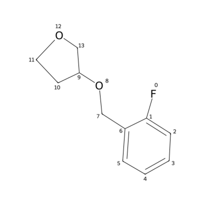 Fc1ccccc1COC1CCOC1